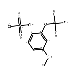 CSc1cccc(OC(F)(F)F)c1.O=S(=O)(Cl)Cl